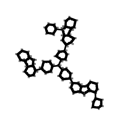 c1ccc(-c2cccc3c2oc2ccc(-c4ccc(N(c5ccc(-c6ccc7c8ccccc8n(-c8ccccc8)c7c6)cc5)c5ccc(-c6cccc7c6oc6ccccc67)cc5)cc4)cc23)cc1